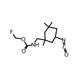 CC1(C)CC(N=C=O)CC(C)(CNC(=O)OCF)C1